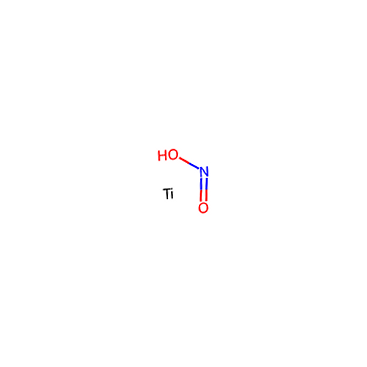 O=NO.[Ti]